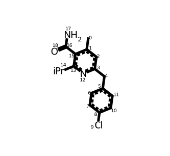 Cc1cc(Cc2ccc(Cl)cc2)nc(C(C)C)c1C(N)=O